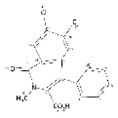 Cn1c(C(=O)O)c(-c2ccccc2)c2cc(Cl)c(Cl)cc2c1=O